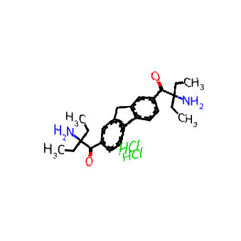 CCC(N)(CC)C(=O)c1ccc2c(c1)Cc1cc(C(=O)C(N)(CC)CC)ccc1-2.Cl.Cl